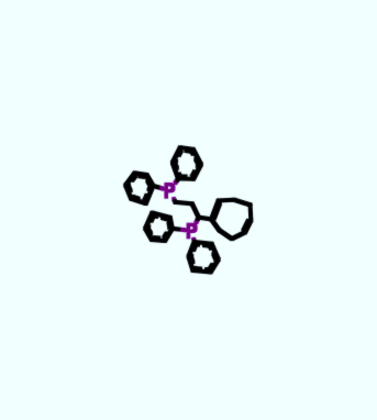 C1=CCCC(C(CCP(c2ccccc2)c2ccccc2)P(c2ccccc2)c2ccccc2)=CCC1